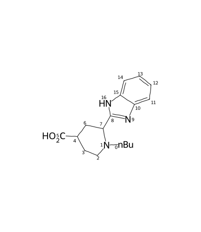 CCCCN1CCC(C(=O)O)CC1c1nc2ccccc2[nH]1